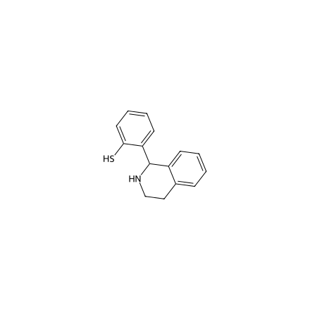 Sc1ccccc1C1NCCc2ccccc21